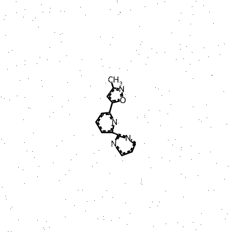 Cc1cc(-c2cccc(-c3ncccn3)n2)on1